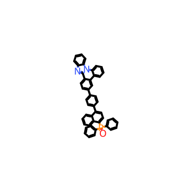 O=P(c1ccccc1)(c1ccccc1)c1ccc(-c2ccc(-c3ccc4c(c3)c3ccccc3n3c5ccccc5nc43)cc2)c2ccccc12